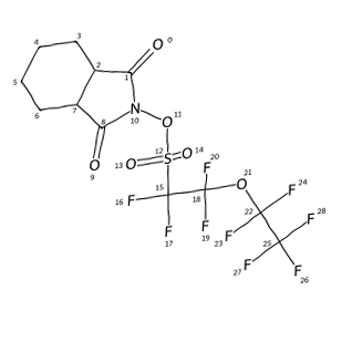 O=C1C2CCCCC2C(=O)N1OS(=O)(=O)C(F)(F)C(F)(F)OC(F)(F)C(F)(F)F